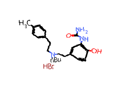 Br.CCCCN(CCc1ccc(C)cc1)CCc1ccc(O)c(NC(N)=O)c1